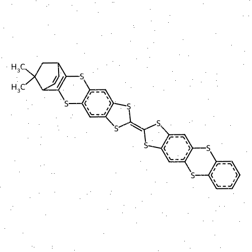 CC1(C)CC2C=CC1C1=C2Sc2cc3c(cc2S1)SC(=C1Sc2cc4c(cc2S1)Sc1ccccc1S4)S3